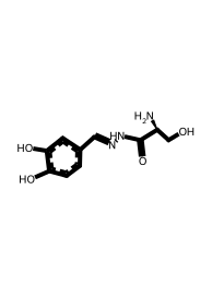 N[C@@H](CO)C(=O)N/N=C/c1ccc(O)c(O)c1